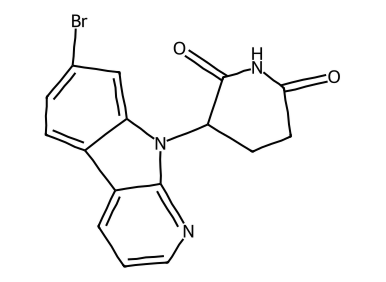 O=C1CCC(n2c3cc(Br)ccc3c3cccnc32)C(=O)N1